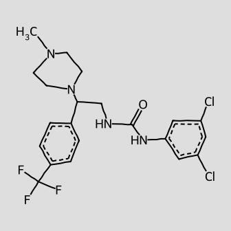 CN1CCN(C(CNC(=O)Nc2cc(Cl)cc(Cl)c2)c2ccc(C(F)(F)F)cc2)CC1